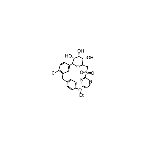 CCOc1ccc(Cc2cc([C@@H]3O[C@H](CS(=O)(=O)c4ncccn4)[C@@H](O)[C@H](O)[C@H]3O)ccc2Cl)cc1